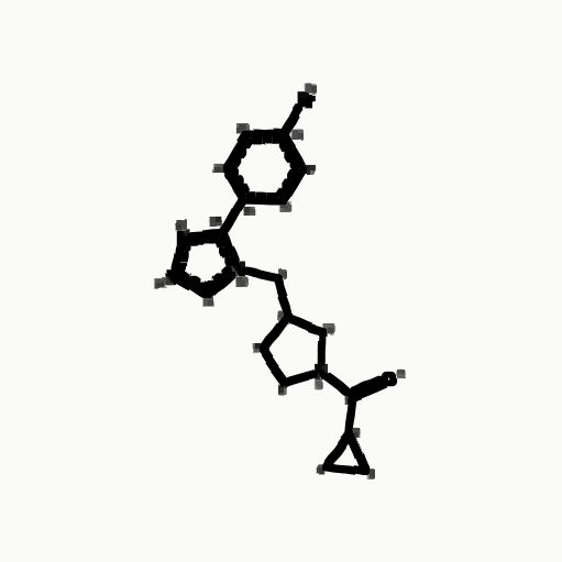 O=C(C1CC1)N1CCC(Cn2cnnc2-c2ccc(Br)cc2)C1